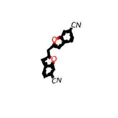 N#Cc1ccc2cc(Cc3cc4ccc(C#N)cc4o3)oc2c1